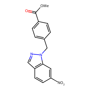 COC(=O)c1ccc(Cn2ncc3ccc([N+](=O)[O-])cc32)cc1